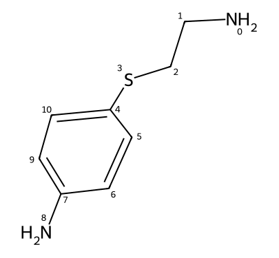 NCCSc1ccc(N)cc1